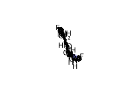 Cc1[nH]c(/C=C2\C(=O)Nc3ccc(F)cc32)c(C)c1C(=O)NCC(=O)NCCCCCC(=O)Nc1ccc(F)cc1N